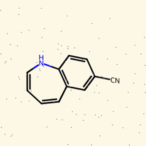 N#Cc1ccc2c(c1)C=CC=CN2